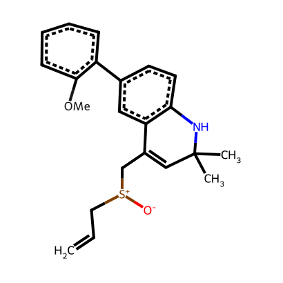 C=CC[S+]([O-])CC1=CC(C)(C)Nc2ccc(-c3ccccc3OC)cc21